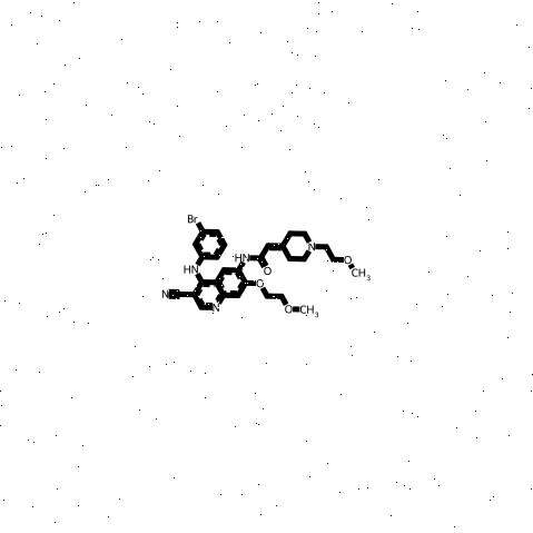 COCCOc1cc2ncc(C#N)c(Nc3cccc(Br)c3)c2cc1NC(=O)C=C1CCN(CCOC)CC1